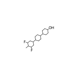 CC1C(F)CC(C2CCC(C3CCC(O)CC3)CC2)CC1F